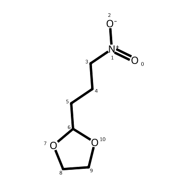 O=[N+]([O-])CCCC1OCCO1